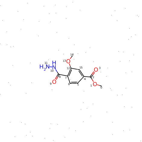 COC(=O)c1ccc(C(=O)NN)c(OC)c1